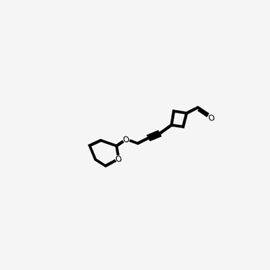 O=CC1CC(C#CCOC2CCCCO2)C1